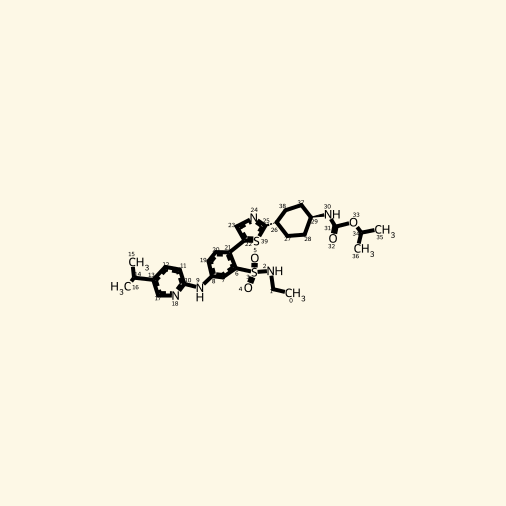 CCNS(=O)(=O)c1cc(Nc2ccc(C(C)C)cn2)ccc1-c1cnc([C@H]2CC[C@H](NC(=O)OC(C)C)CC2)s1